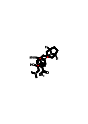 CCCCCCN(CCN1[C@@H]2CC[C@H]1C[C@@H](c1cccc(C(N)=O)c1)C2)C(=O)C(O)CN(C)C